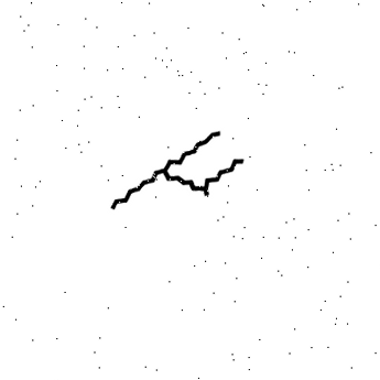 CCCCCCCCC(CCCCCCCC)CCCCCC(C)CCCCCC